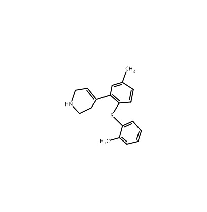 Cc1ccc(Sc2ccccc2C)c(C2=CCNCC2)c1